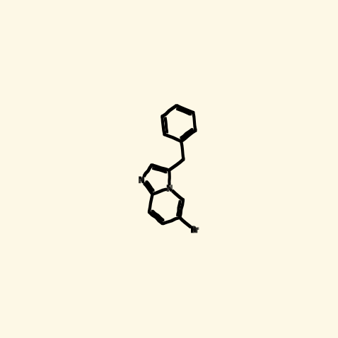 Brc1ccc2ncc(Cc3ccccc3)n2c1